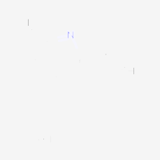 [CH2]C(CCCCC)=NCCC